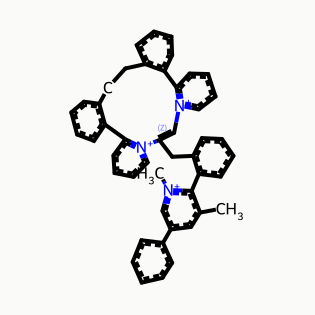 Cc1cc(-c2ccccc2)c[n+](C)c1-c1ccccc1C/C1=C/[n+]2ccccc2-c2ccccc2CCc2ccccc2-c2cccc[n+]21